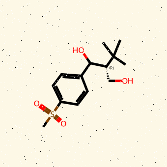 CC(C)(C)[C@H](CO)C(O)c1ccc(S(C)(=O)=O)cc1